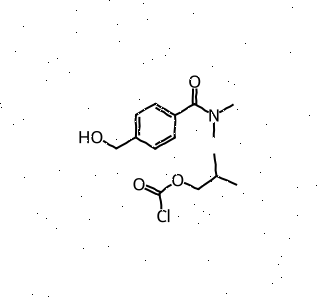 CC(C)COC(=O)Cl.CN(C)C(=O)c1ccc(CO)cc1